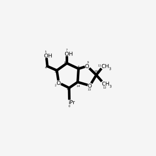 CC(C)C1OC(CO)C(O)C2OC(C)(C)OC12